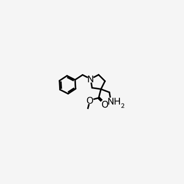 COC(=O)C1(CN)CCN(Cc2ccccc2)C1